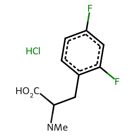 CNC(Cc1ccc(F)cc1F)C(=O)O.Cl